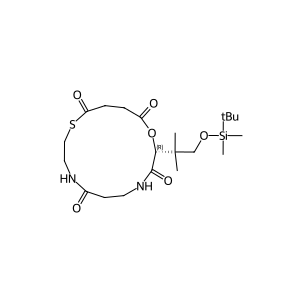 CC(C)(CO[Si](C)(C)C(C)(C)C)[C@H]1OC(=O)CCC(=O)SCCNC(=O)CCNC1=O